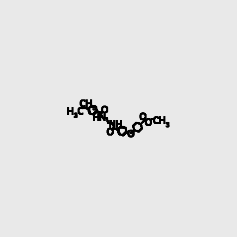 CCOC(=O)[C@H]1CC[C@@H](Oc2ccc(C(=O)NCCNC(=O)c3ccc(C(C)C)cc3)cc2)CC1